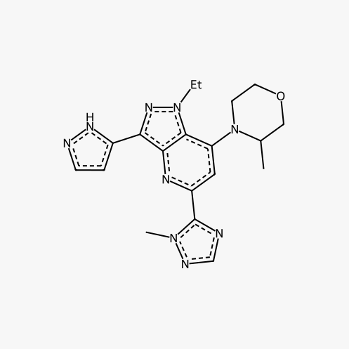 CCn1nc(-c2ccn[nH]2)c2nc(-c3ncnn3C)cc(N3CCOCC3C)c21